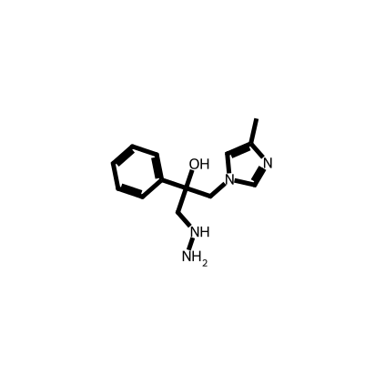 Cc1cn(CC(O)(CNN)c2ccccc2)cn1